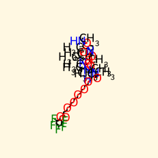 CC[C@H](C)[C@@H]([C@@H](CC(=O)N1CCC[C@H]1[C@H](OC)[C@@H](C)C(=O)NC)OC)N(C)C(=O)[C@@H](NC(=O)C(C)(C)N(C)C(=O)CCOCCOCCOCCOCCOCCC(=O)Oc1c(F)c(F)c(F)c(F)c1F)C(C)C